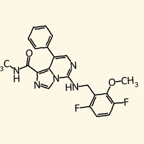 CNC(=O)c1ncn2c(NCc3c(F)ccc(F)c3OC)ncc(-c3ccccc3)c12